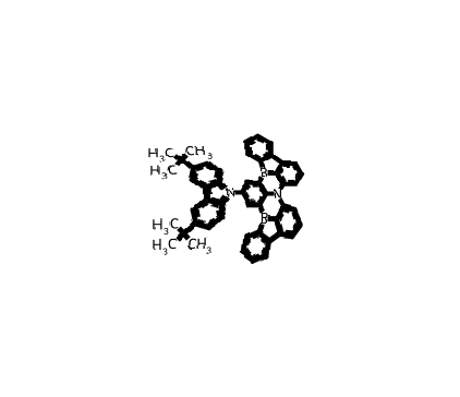 CC(C)(C)c1ccc2c(c1)c1cc(C(C)(C)C)ccc1n2-c1cc2c3c(c1)B1c4ccccc4-c4cccc(c41)N3c1cccc3c1B2c1ccccc1-3